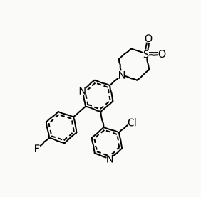 O=S1(=O)CCN(c2cnc(-c3ccc(F)cc3)c(-c3ccncc3Cl)c2)CC1